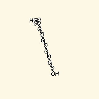 O=S(=O)(O)OCCOCCOCCOCCOCCOCCOCCOCCOCCO